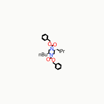 CCCC[C@H]1CN(C(=O)OCc2ccccc2)[C@H](CC(C)C)CN1C(=O)OCc1ccccc1